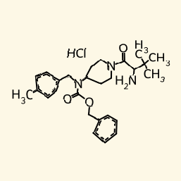 Cc1ccc(CN(C(=O)OCc2ccccc2)C2CCN(C(=O)C(N)C(C)(C)C)CC2)cc1.Cl